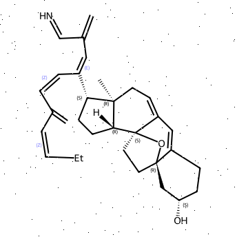 C=C(/C=C\CC)/C=C\C(=C/C(=C)C=N)[C@H]1CC[C@@H]2[C@]1(C)CC=C1C=C3CC[C@H](O)C[C@]34CC[C@@]12O4